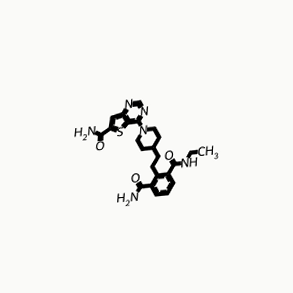 CCNC(=O)c1cccc(C(N)=O)c1CCC1CCN(c2ncnc3cc(C(N)=O)sc23)CC1